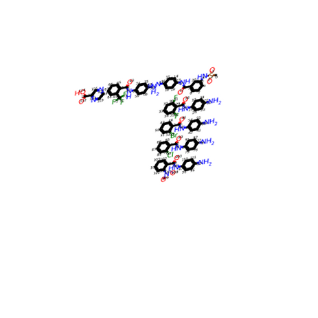 CS(=O)(=O)Nc1cccc(C(=O)Nc2ccc(N)cc2)c1.Nc1ccc(NC(=O)c2c(F)cccc2F)cc1.Nc1ccc(NC(=O)c2ccccc2Br)cc1.Nc1ccc(NC(=O)c2ccccc2C(F)(F)F)cc1.Nc1ccc(NC(=O)c2ccccc2Cl)cc1.Nc1ccc(NC(=O)c2ccccc2[N+](=O)[O-])cc1.O=C(O)c1cnccn1